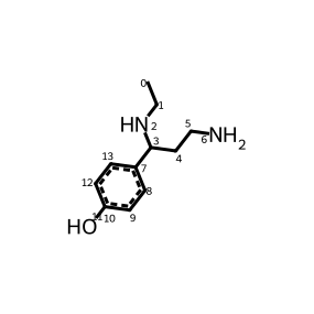 CCNC(CCN)c1ccc(O)cc1